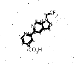 O=C(O)c1ccnc(-c2cc3cnn(CC(F)(F)F)c3cn2)c1